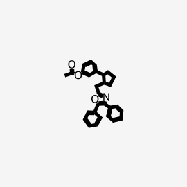 CC(=O)Oc1cccc(C2CCCC2Cc2nc(-c3ccccc3)c(-c3ccccc3)o2)c1